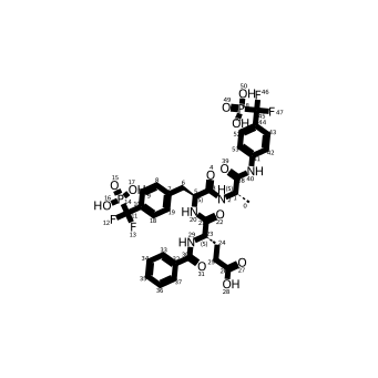 C[C@H](NC(=O)[C@H](Cc1ccc(C(F)(F)P(=O)(O)O)cc1)NC(=O)[C@H](CCC(=O)O)NC(=O)c1ccccc1)C(=O)Nc1ccc(C(F)(F)P(=O)(O)O)cc1